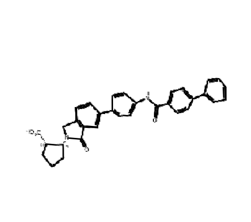 O=C(Nc1ccc(-c2ccc3c(c2)C(=O)N([C@@H]2CCC[C@@H]2C(=O)O)C3)cc1)c1ccc(-c2ccccc2)cc1